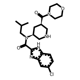 CC(C)CN(C(=O)c1nc2cc(Cl)ccc2[nH]1)[C@@H]1CNC[C@H](C(=O)N2CCOCC2)C1